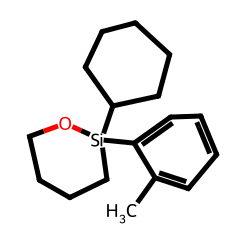 Cc1ccccc1[Si]1(C2CCCCC2)CCCCO1